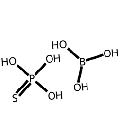 OB(O)O.OP(O)(O)=S